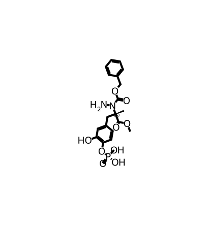 COC(=O)[C@](C)(Cc1ccc(OP(=O)(O)O)c(O)c1)N(N)C(=O)OCc1ccccc1